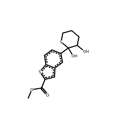 COC(=O)c1cc2cc(C3(O)SCCCC3O)ccc2s1